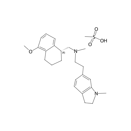 COc1cccc2c1CCC[C@H]2CN(C)CCc1ccc2c(c1)N(C)CC2.CS(=O)(=O)O